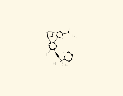 C[C@@](O)(C#Cc1cc2c(cc1F)C1CC(C1)n1cc(C(N)=O)nc1-2)c1ccccn1